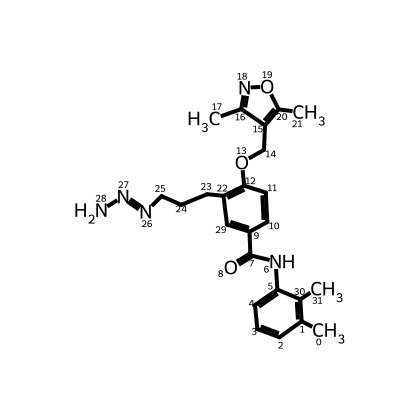 Cc1cccc(NC(=O)c2ccc(OCc3c(C)noc3C)c(CCCN=NN)c2)c1C